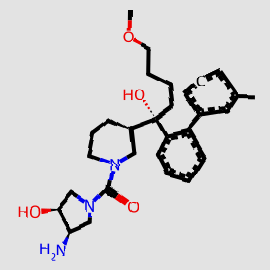 COCCCC[C@@](O)(c1ccccc1-c1cccc(C)c1)[C@@H]1CCCN(C(=O)N2C[C@@H](N)[C@@H](O)C2)C1